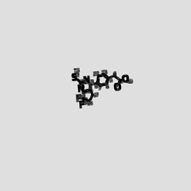 COC(=O)Cc1ccc(-c2nc(SC)nc3c2CCC3(F)F)cc1